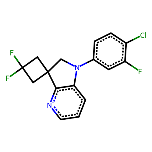 Fc1cc(N2CC3(CC(F)(F)C3)c3ncccc32)ccc1Cl